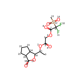 CC(OC(=O)COC(=O)C(F)(F)S(C)(=O)=O)C1OC(=O)C2CCCC21